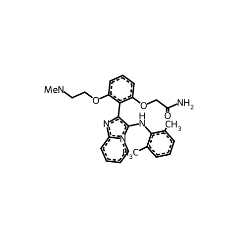 CNCCOc1cccc(OCC(N)=O)c1-c1nc2ccccn2c1Nc1c(C)cccc1C